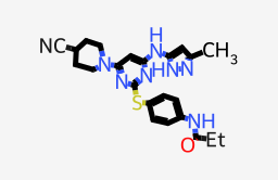 CCC(=O)Nc1ccc(Sc2nc(Nc3cc(C)n[nH]3)cc(N3CCC(C#N)CC3)n2)cc1